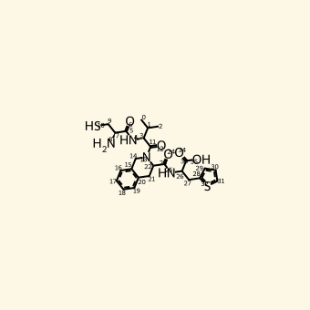 CC(C)[C@H](NC(=O)[C@@H](N)CS)C(=O)N1Cc2ccccc2CC1C(=O)NC(Cc1cccs1)C(=O)O